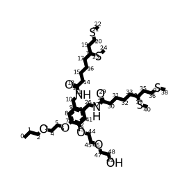 CCCOCCOc1cc(CNC(=O)CCCCC(CCSC)SC)c(CNC(=O)CCCCC(CCSC)SC)cc1OCCOCCO